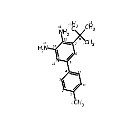 Cc1ccc(-c2cc(C(C)(C)C)c(N)c(N)n2)cc1